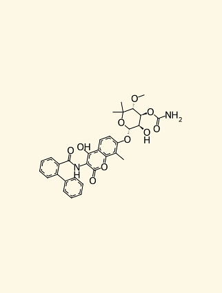 CO[C@@H]1[C@@H](OC(N)=O)[C@@H](O)[C@H](Oc2ccc3c(O)c(NC(=O)c4ccccc4-c4ccccc4)c(=O)oc3c2C)OC1(C)C